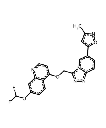 Cc1cc(-c2ccc3nnc(COc4ccnc5cc(OC(F)F)ccc45)n3c2)on1